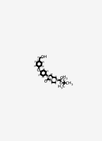 CC(C)(C)OC(=O)N1CCN2C(=O)N(c3ccc(Oc4ccc(CO)cc4)cc3)CC2C1